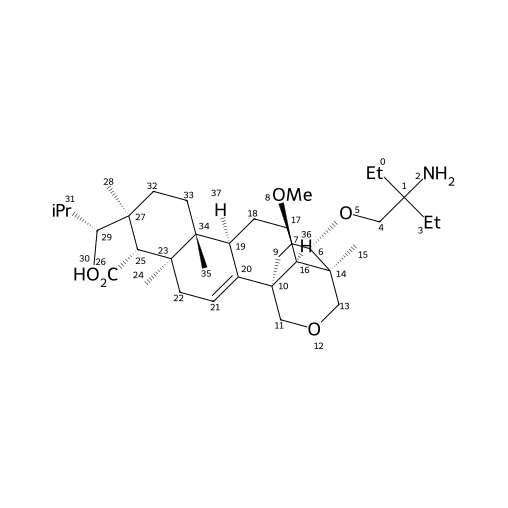 CCC(N)(CC)CO[C@H]1[C@H](OC)C[C@@]23COC[C@@]1(C)[C@@H]2CC[C@H]1C3=CC[C@@]2(C)[C@H](C(=O)O)[C@@](C)([C@H](C)C(C)C)CC[C@]12C